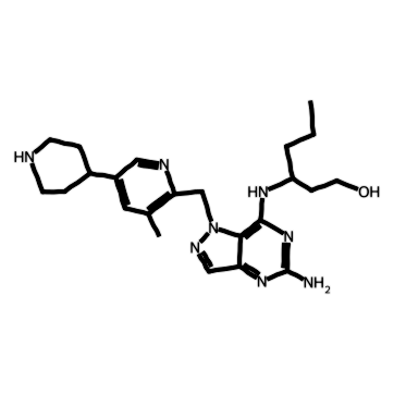 CCCC(CCO)Nc1nc(N)nc2cnn(Cc3ncc(C4CCNCC4)cc3C)c12